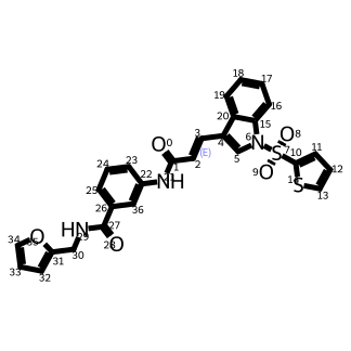 O=C(/C=C/c1cn(S(=O)(=O)c2cccs2)c2ccccc12)Nc1cccc(C(=O)NCc2ccco2)c1